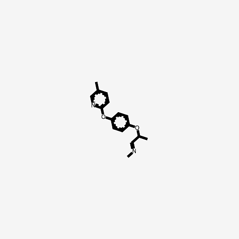 C/N=C/C(C)Oc1ccc(Oc2ccc(C)cn2)cc1